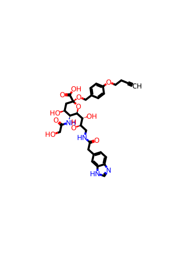 C#CCCOc1ccc(CO[C@]2(C(=O)O)C[C@H](O)[C@@H](NC(=O)CO)[C@H]([C@H](O)[C@H](O)CNC(=O)Cc3ccc4nc[nH]c4c3)O2)cc1